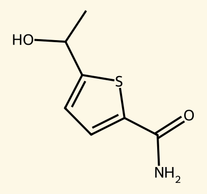 CC(O)c1ccc(C(N)=O)s1